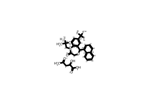 CC(=O)CC(O)C(=O)O.CC(C)(C)CN1C(=O)COC(c2cccc3ccccc23)c2cc(C(F)(F)F)ccc21